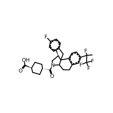 C[C@@H]1CN(C(=O)[C@H]2CC[C@H](C(=O)O)CC2)C2CCc3cc(C(C)(F)C(F)(F)F)ccc3C21Cc1ccc(F)cc1